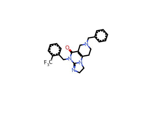 O=C1C2=C(CCN(Cc3ccccc3)C2)N2CCN=C2N1Cc1ccccc1C(F)(F)F